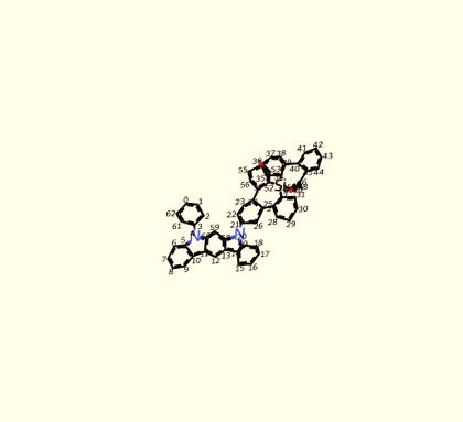 c1ccc(-n2c3ccccc3c3cc4c5ccccc5n(-c5ccc6c(c5)-c5ccccc5[Si]5(c7ccccc7-c7ccccc7-c7ccccc75)c5ccccc5-6)c4cc32)cc1